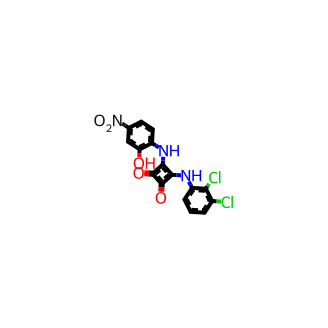 O=c1c(Nc2ccc([N+](=O)[O-])cc2O)c(Nc2cccc(Cl)c2Cl)c1=O